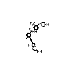 Cc1ccc(C(=O)Nc2ccc(CN3CCNCC3)c(C(F)(F)F)c2)cc1C#Cc1cnc(/C=C\C=N)[nH]1